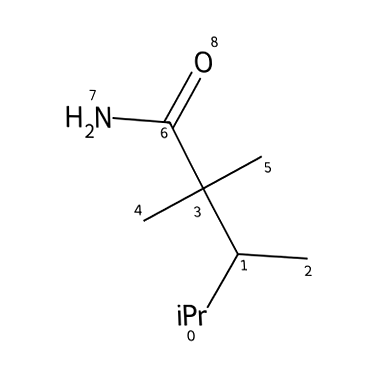 CC(C)C(C)C(C)(C)C(N)=O